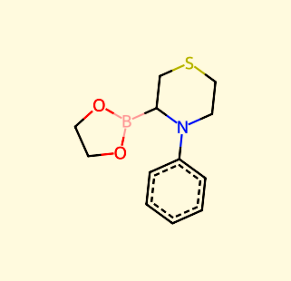 c1ccc(N2CCSCC2B2OCCO2)cc1